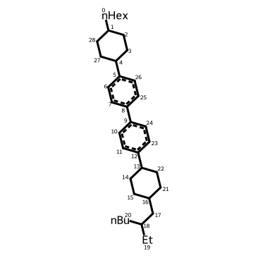 CCCCCCC1CCC(c2ccc(-c3ccc(C4CCC(CC(CC)CCCC)CC4)cc3)cc2)CC1